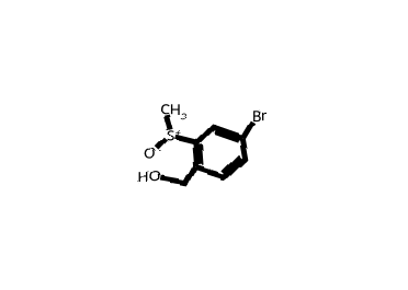 C[S+]([O-])c1cc(Br)ccc1CO